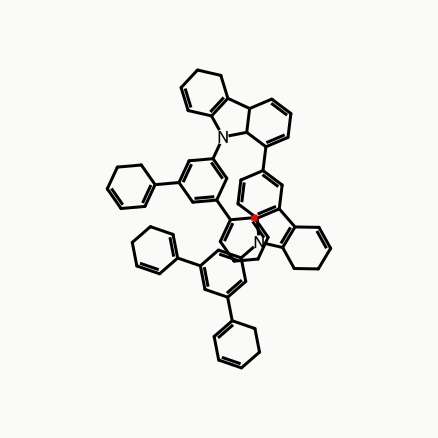 C1=CCCC(c2cc(C3=CCCC=C3)cc(N3C4=C(CCC=C4)C4C=CC=C(c5ccc6c(c5)c5c(n6-c6cc(C7=CCCC=C7)cc(C7=CC=CCC7)c6)CCC=C5)C43)c2)=C1